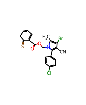 N#Cc1c(Br)c(C(F)(F)F)n(COC(=O)C2=CC=CCC2=S)c1-c1ccc(Cl)cc1